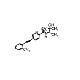 Cc1ccccc1C#Cc1ccc(C(=O)N[C@H](C)C(C)(C)O)nc1